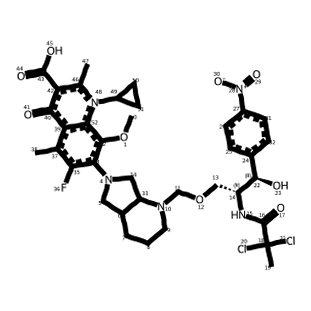 COc1c(N2CC3CCCN(COC[C@@H](NC(=O)C(C)(Cl)Cl)[C@H](O)c4ccc([N+](=O)[O-])cc4)C3C2)c(F)c(C)c2c(=O)c(C(=O)O)c(C)n(C3CC3)c12